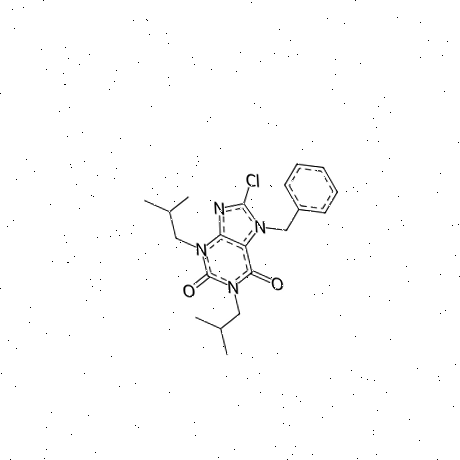 CC(C)Cn1c(=O)c2c(nc(Cl)n2Cc2ccccc2)n(CC(C)C)c1=O